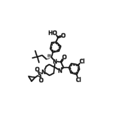 CC(C)(C)CC[C@H](c1ccc(C(=O)O)cc1)N1C(=O)C(c2cc(Cl)cc(Cl)c2)=NC12CCN(S(=O)(=O)C1CC1)CC2